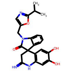 CC(C)c1ncc(CN2C(=O)C3(CC(=N)Nc4cc(O)c(O)cc43)c3ccccc32)o1